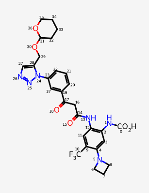 O=C(O)Nc1cc(N2CCC2)c(C(F)(F)F)cc1NC(=O)CC(=O)c1cccc(-n2nncc2COC2CCCCO2)c1